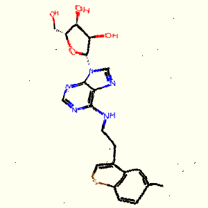 Cc1ccc2scc(CCNc3ncnc4c3ncn4[C@@H]3O[C@H](CO)[C@@H](O)[C@H]3O)c2c1